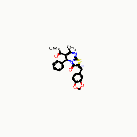 COC(=O)C1=C(C)N=c2s/c(=C/c3ccc4c(c3)OCO4)c(=O)n2C1c1ccccc1